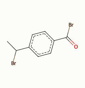 CC(Br)c1ccc(C(=O)Br)cc1